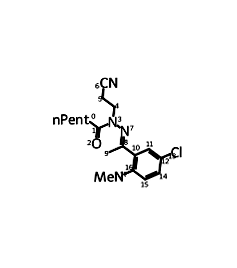 CCCCCC(=O)N(CCC#N)/N=C(\C)c1cc(Cl)ccc1NC